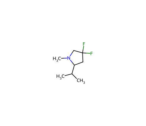 CC(C)C1CC(F)(F)CN1C